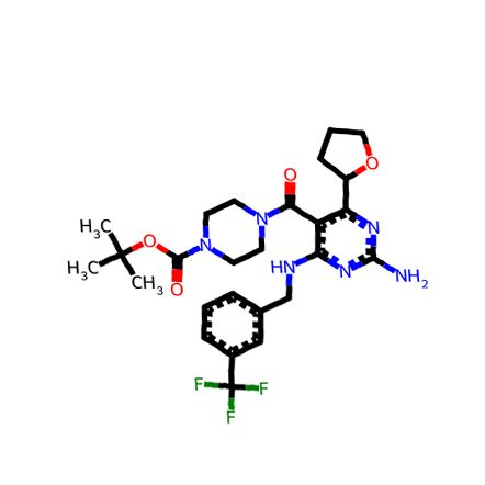 CC(C)(C)OC(=O)N1CCN(C(=O)c2c(NCc3cccc(C(F)(F)F)c3)nc(N)nc2C2CCCO2)CC1